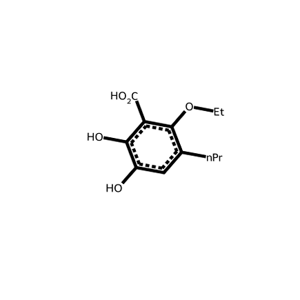 CCCc1cc(O)c(O)c(C(=O)O)c1OCC